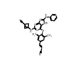 Cc1cc(/C=C/C#N)cc(C)c1Oc1nc(NC23CC(C#N)(C2)C3)nc2nc(Nc3cccnc3)[nH]c12